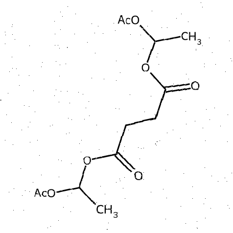 CC(=O)OC(C)OC(=O)CCC(=O)OC(C)OC(C)=O